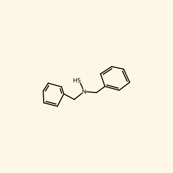 SN(Cc1ccccc1)Cc1ccccc1